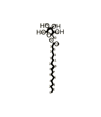 CCCCCCCCC=CCCCCCCCC(=O)OC[C@H]1OC(O)[C@H](O)[C@@H](O)[C@@H]1O